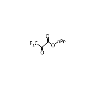 CC[CH]OC(=O)C(=O)C(F)(F)F